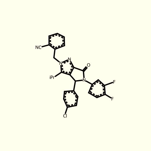 CC(C)c1c2c(nn1Cc1ccccc1C#N)C(=O)N(c1ccc(F)c(F)c1)C2c1ccc(Cl)cc1